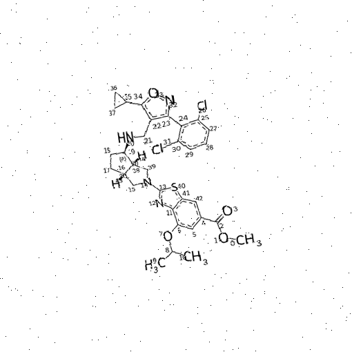 COC(=O)c1cc(OC(C)C)c2nc(N3C[C@@H]4CC[C@@H](NCc5c(-c6c(Cl)cccc6Cl)noc5C5CC5)[C@@H]4C3)sc2c1